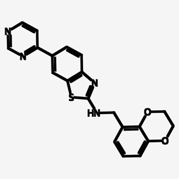 c1cc(CNc2nc3ccc(-c4ccncn4)cc3s2)c2c(c1)OCCO2